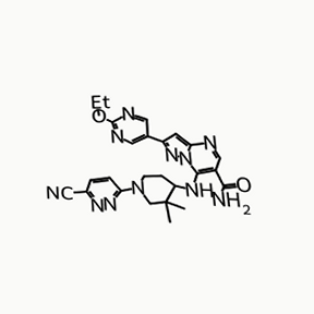 CCOc1ncc(-c2cc3ncc(C(N)=O)c(NC4CCN(c5ccc(C#N)nn5)CC4(C)C)n3n2)cn1